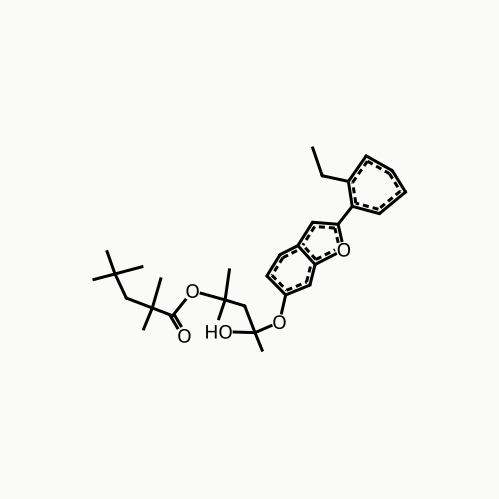 CCc1ccccc1-c1cc2ccc(OC(C)(O)CC(C)(C)OC(=O)C(C)(C)CC(C)(C)C)cc2o1